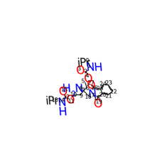 CC(C)NC(=O)OCCC(N)(CCOC(=O)NC(C)C)CN1C(=O)c2ccccc2C1=O